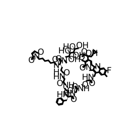 Cc1cc2c(CNC(=O)COCNC(=O)CNC(=O)[C@H](Cc3ccccc3)NC(=O)CNC(=O)CNC(=O)CC[C@H](NC(=O)CCCCCN3C(=O)C=CC3=O)C(=O)N(C)C[C@H](O)[C@@H](O)[C@H](O)[C@H](O)CO)c3c(nc2cc1F)-c1cc2c(c(=O)n1C3)COC(=O)[C@]2(O)CC1CC1